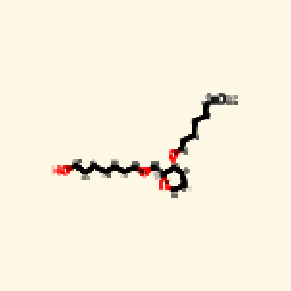 CCCCCCCCCCCCCCCCO[C@H]1CCCO[C@H]1COCCCCCCCO